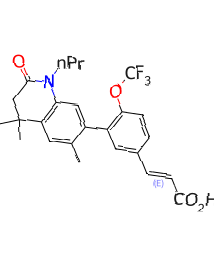 CCCN1C(=O)CC(C)(C)c2cc(C)c(-c3cc(/C=C/C(=O)O)ccc3OC(F)(F)F)cc21